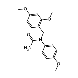 COc1ccc(N(Cc2ccc(OC)cc2OC)C(N)=O)cc1